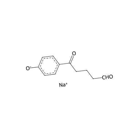 O=CCCCC(=O)c1ccc([O-])cc1.[Na+]